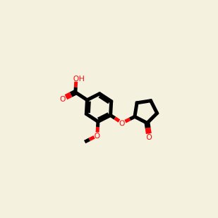 COc1cc(C(=O)O)ccc1OC1CCCC1=O